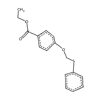 CCOC(=O)c1ccc(OCSc2ccccc2)cc1